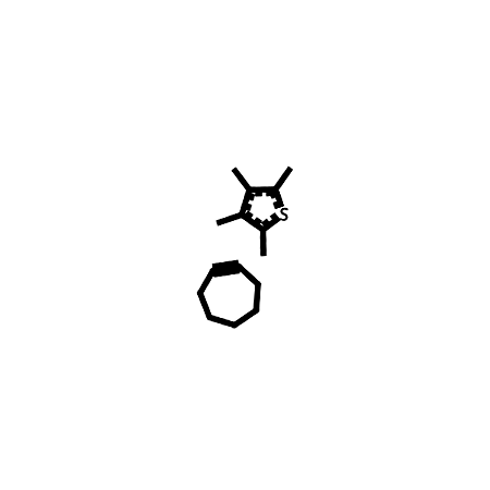 C1#CCCCCC1.Cc1sc(C)c(C)c1C